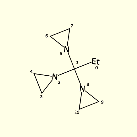 CCC(N1CC1)(N1CC1)N1CC1